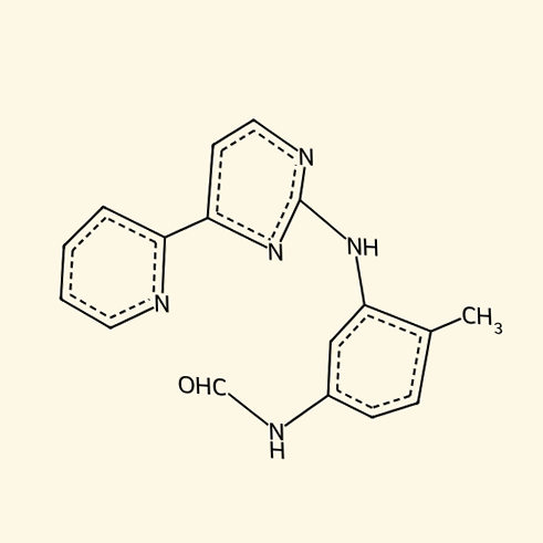 Cc1ccc(NC=O)cc1Nc1nccc(-c2ccccn2)n1